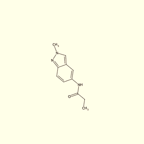 CCC(=O)Nc1ccc2nn(C)cc2c1